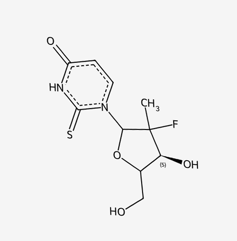 CC1(F)C(n2ccc(=O)[nH]c2=S)OC(CO)[C@@H]1O